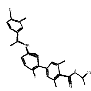 Cc1cc(C(C)Nc2ccc(F)c(-c3cc(C)c(C(=O)NC(C)C(=O)O)c(C)c3)c2)ccc1Cl